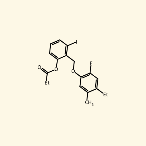 CCC(=O)Oc1cccc(I)c1COc1cc(C)c(CC)cc1F